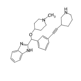 CN1CCC(OC(c2cccc(C#CC3CCCNC3)c2)c2nc3ccccc3[nH]2)CC1